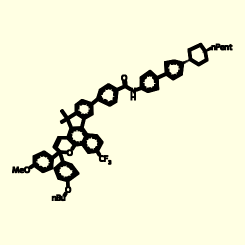 CCCCC[C@H]1CC[C@H](c2ccc(-c3ccc(NC(=O)c4ccc(-c5ccc6c(c5)-c5c(c7c(c8cc(C(F)(F)F)ccc58)OC(c5ccc(OC)cc5)(c5ccc(OCCCC)cc5)C=C7)C6(C)C)cc4)cc3)cc2)CC1